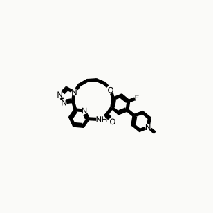 CN1CC=C(c2cc3c(cc2F)OCCCCn2cnnc2-c2cccc(n2)NC3=O)CC1